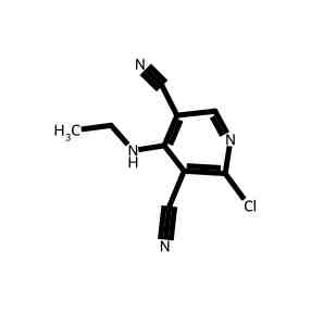 CCNc1c(C#N)cnc(Cl)c1C#N